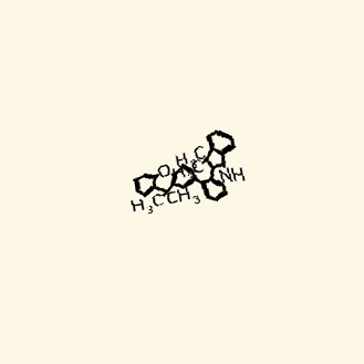 CC1(C)c2ccccc2Oc2ccc(-c3cccc4c3C3C(N4)c4ccccc4C3(C)C)cc21